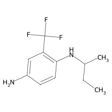 CCC(C)Nc1ccc(N)cc1C(F)(F)F